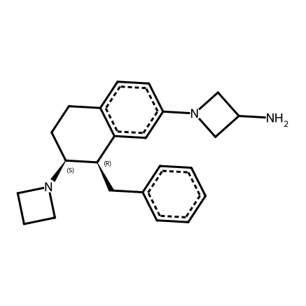 NC1CN(c2ccc3c(c2)[C@@H](Cc2ccccc2)[C@@H](N2CCC2)CC3)C1